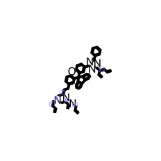 C=C\C=C/N=C/C(=C/Cc1ccc2c(c1)C1(c3cc(-c4nc(/C(C=C)=C/C=C)nc(-c5ccccc5)n4)ccc3O2)c2ccccc2-c2ccccc21)/N=C(\C)C(=C)/N=C\C=C